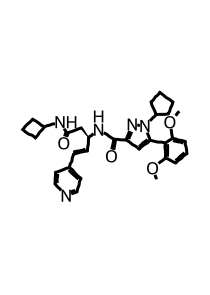 COc1cccc(OC)c1-c1cc(C(=O)N[C@@H](/C=C/c2ccncc2)CC(=O)NC2CCC2)nn1C1CCCC1